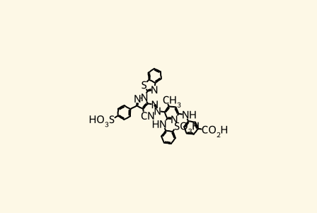 Cc1cc(Nc2cccc(C(=O)O)c2)nc(Nc2ccccc2S(=O)(=O)O)c1N=Nc1c(C#N)c(-c2ccc(S(=O)(=O)O)cc2)nn1-c1nc2ccccc2s1